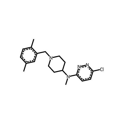 Cc1ccc(C)c(CN2CCC(N(C)c3ccc(Cl)nn3)CC2)c1